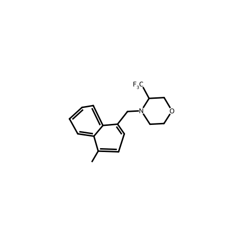 Cc1ccc(CN2CCOCC2C(F)(F)F)c2ccccc12